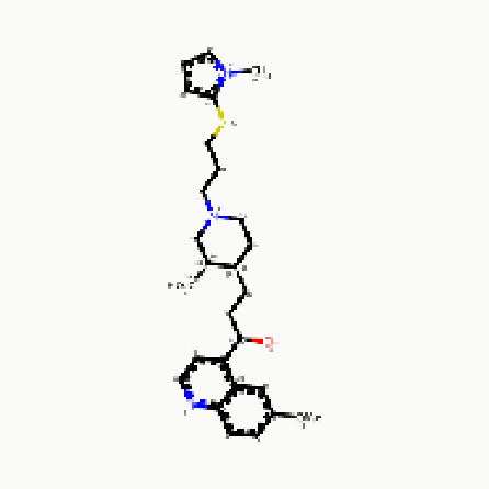 COc1ccc2nccc([C@H](O)CC[C@@H]3CCN(CCCSc4cccn4C)C[C@@H]3C(=O)O)c2c1